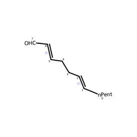 CCCCC/C=C/CC/C=C/C=O